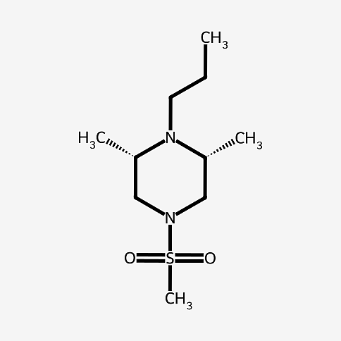 CCCN1[C@H](C)CN(S(C)(=O)=O)C[C@@H]1C